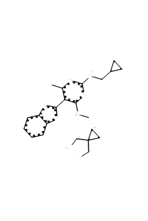 Cc1nc(NCC2CC2)nc(NC[C@@H]2CC2(CO)CO)c1-c1nc2ccccc2s1